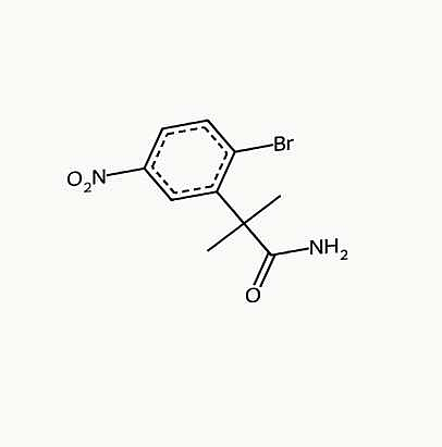 CC(C)(C(N)=O)c1cc([N+](=O)[O-])ccc1Br